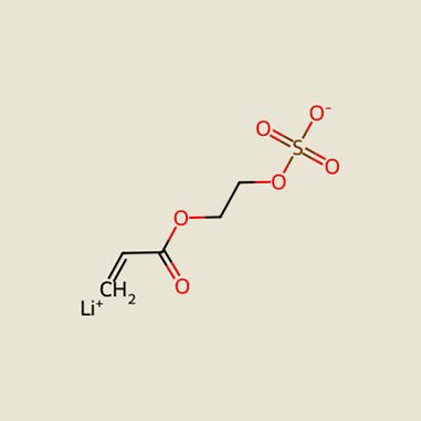 C=CC(=O)OCCOS(=O)(=O)[O-].[Li+]